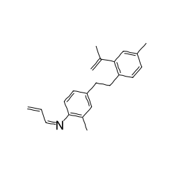 C=C/C=N\c1ccc(CCc2ccc(C)cc2C(=C)C)cc1C